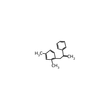 C=C(Cc1ccc(C)cc1C)c1ccccc1